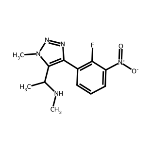 CNC(C)c1c(-c2cccc([N+](=O)[O-])c2F)nnn1C